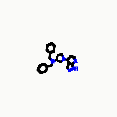 c1ccc(CN(Cc2ccccc2)C2CCN(c3ccnc4[nH]ncc34)C2)cc1